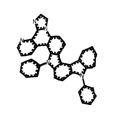 c1ccc(-n2c3ccccc3c3c4c5ccc6c(c7cccnc7c7nccn67)c5n(-c5ccccc5)c4ccc32)cc1